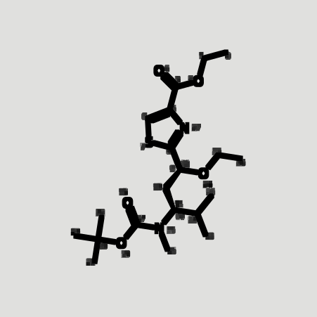 CCOC(=O)c1csc([C@H](C[C@@H](C(C)C)N(C)C(=O)OC(C)(C)C)OCC)n1